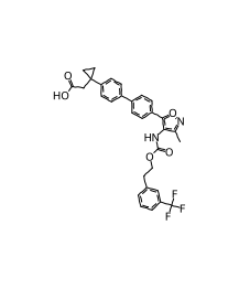 Cc1noc(-c2ccc(-c3ccc(C4(CC(=O)O)CC4)cc3)cc2)c1NC(=O)OCCc1cccc(C(F)(F)F)c1